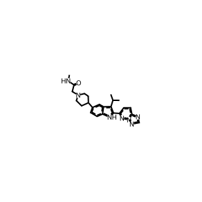 CNC(=O)CN1CCC(c2ccc3[nH]c(-c4ccc5ncnn5n4)c(C(C)C)c3c2)CC1